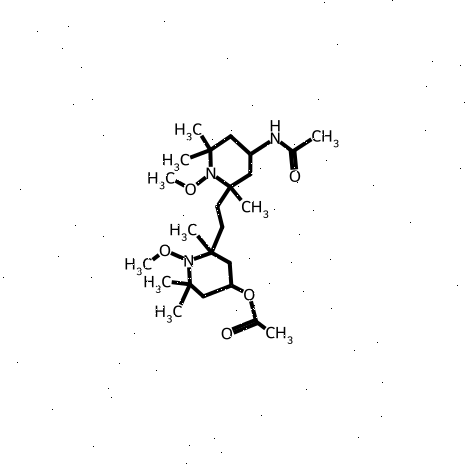 CON1C(C)(C)CC(NC(C)=O)CC1(C)CCC1(C)CC(OC(C)=O)CC(C)(C)N1OC